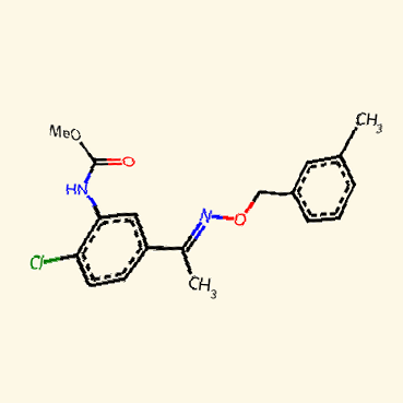 COC(=O)Nc1cc(C(C)=NOCc2cccc(C)c2)ccc1Cl